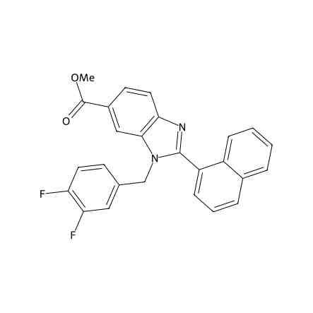 COC(=O)c1ccc2nc(-c3cccc4ccccc34)n(Cc3ccc(F)c(F)c3)c2c1